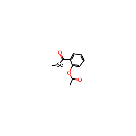 C[Se]C(=O)c1ccccc1OC(C)=O